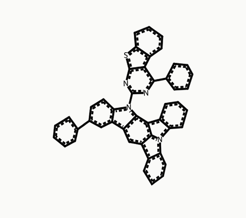 c1ccc(-c2ccc3c(c2)c2cc4c5ccccc5n5c6ccccc6c(c2n3-c2nc(-c3ccccc3)c3c(n2)sc2ccccc23)c45)cc1